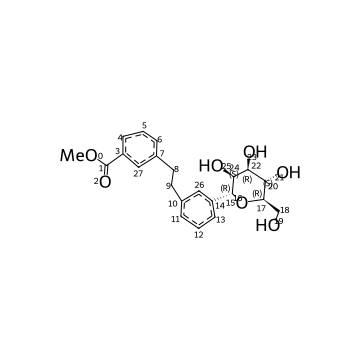 COC(=O)c1cccc(CCc2cccc([C@H]3O[C@H](CO)[C@@H](O)[C@H](O)[C@@H]3O)c2)c1